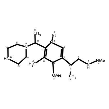 CCN1C=C([C@@H](C)CNNC)C(OC)C(C)=C1C(C)N1CCNCC1